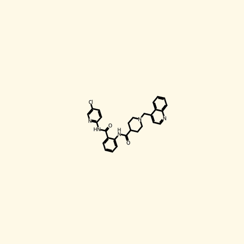 O=C(Nc1ccc(Cl)cn1)c1ccccc1NC(=O)C1CCN(Cc2ccnc3ccccc23)CC1